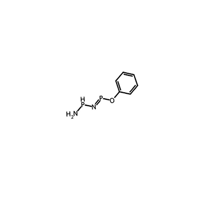 NPN=POc1ccccc1